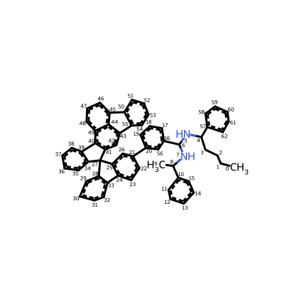 CCCCC(NC(NC(C)c1ccccc1)c1cccc(-c2ccc3c(c2)C2(c4ccccc4-3)c3ccccc3-c3c2cc2c4c(cccc34)-c3ccccc3-2)c1)c1ccccc1